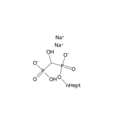 CCCCCCCOP(=O)([O-])C(O)P(=O)([O-])O.[Na+].[Na+]